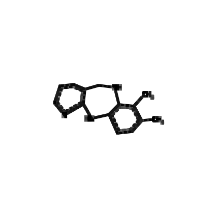 Cc1ccc2c(c1C)NCc1cccnc1N2